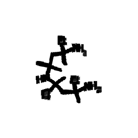 CCC(C)(N)CC(C)(C)NC(C)(CC)CC(C)(N)CC